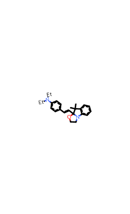 CCN(CC)c1ccc(C=CC23OCCN2c2ccccc2C3(C)C)cc1